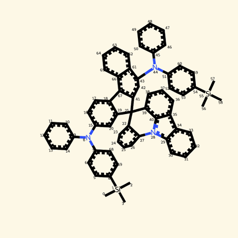 C[Si](C)(C)c1ccc(N(c2ccccc2)c2ccc3c(c2)C2(c4ccccc4-n4c5ccccc5c5cccc2c54)c2cc(N(c4ccccc4)c4ccc([Si](C)(C)C)cc4)c4ccccc4c2-3)cc1